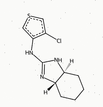 Clc1cscc1NC1=N[C@H]2CCCC[C@@H]2N1